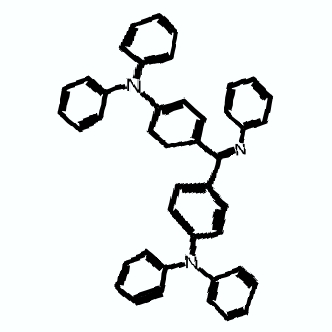 c1cccc(N(c2ccccc2)c2ccc(/C(=N/c3ccccc3)C3=CC=C(N(c4ccccc4)c4ccccc4)CC3)cc2)c#1